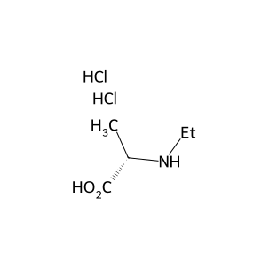 CCN[C@@H](C)C(=O)O.Cl.Cl